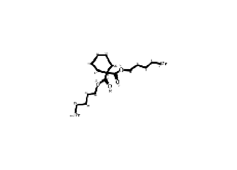 CC(C)CCCCOC(=O)C1(C(=O)OCCCCC(C)C)CCCCC1